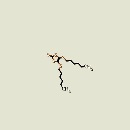 CCCCCCSc1sc(=S)sc1SCCCCCC